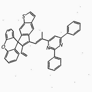 C=CC1=C(/C=C(\C)c2cc(-c3ccccc3)nc(-c3ccccc3)n2)c2cc3ccsc3cc2C12c1ccccc1Oc1ccccc12